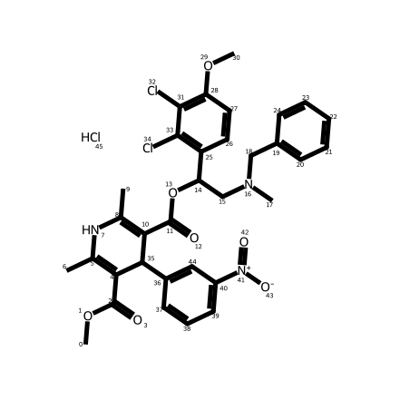 COC(=O)C1=C(C)NC(C)=C(C(=O)OC(CN(C)Cc2ccccc2)c2ccc(OC)c(Cl)c2Cl)C1c1cccc([N+](=O)[O-])c1.Cl